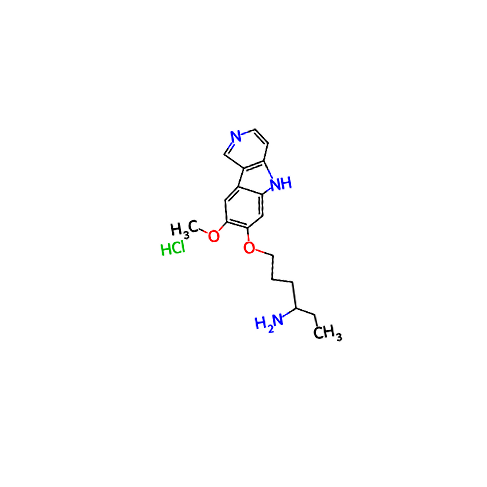 CCC(N)CCCOc1cc2[nH]c3ccncc3c2cc1OC.Cl